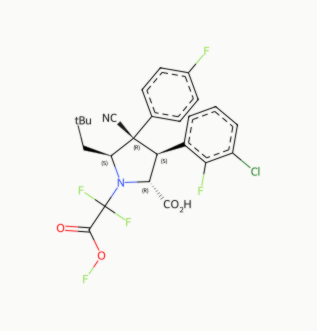 CC(C)(C)C[C@@H]1N(C(F)(F)C(=O)OF)[C@@H](C(=O)O)[C@H](c2cccc(Cl)c2F)[C@@]1(C#N)c1ccc(F)cc1